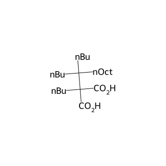 CCCCCCCCC(CCCC)(CCCC)C(CCCC)(C(=O)O)C(=O)O